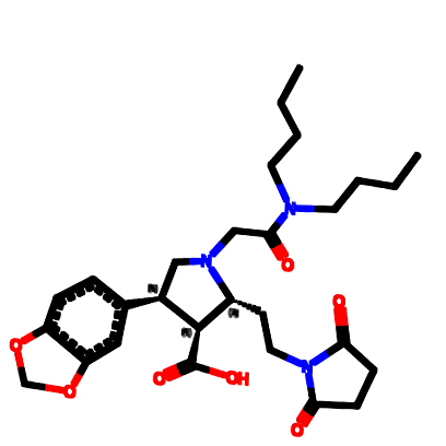 CCCCN(CCCC)C(=O)CN1C[C@H](c2ccc3c(c2)OCO3)[C@H](C(=O)O)[C@H]1CCN1C(=O)CCC1=O